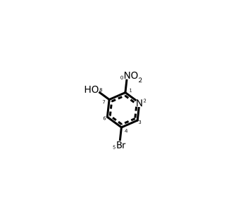 O=[N+]([O-])c1ncc(Br)cc1O